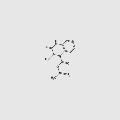 C=C(C)OC(=O)N1c2ccncc2NC(=S)C1C